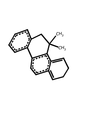 CC1(C)Cc2ccccc2-c2ccc3c(c21)=CCCC=3